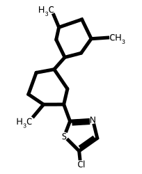 CC1CC(C)CC([C]2CCC(C)C(c3ncc(Cl)s3)C2)C1